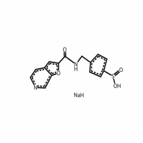 O=C(NCc1ccc(S(=O)O)cc1)c1cc2ccncc2o1.[NaH]